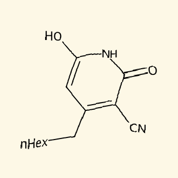 CCCCCCCc1cc(O)[nH]c(=O)c1C#N